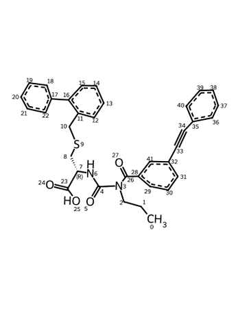 CCCN(C(=O)N[C@@H](CSCc1ccccc1-c1ccccc1)C(=O)O)C(=O)c1cccc(C#Cc2ccccc2)c1